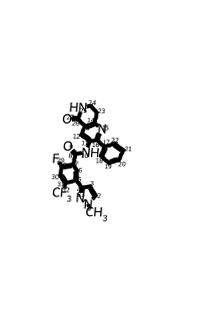 Cn1ccc(-c2cc(C(=O)Nc3cc4c(nc3-c3ccccc3)CCNC4=O)c(F)cc2C(F)(F)F)n1